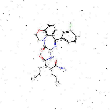 NC(=O)[C@H](CCC(F)(F)F)[C@H](CCC(F)(F)F)C(=O)N[C@H]1N=C(c2cccc(Cl)c2)c2cccc3c2N(CCO3)C1=O